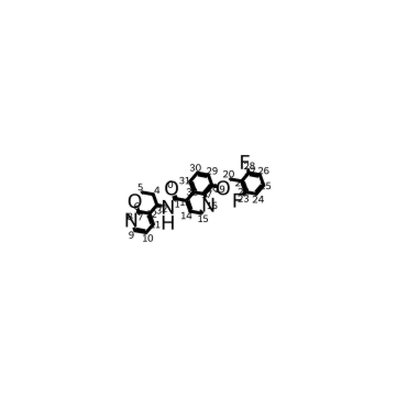 O=C(NC1CCOc2ncccc21)c1ccnc2c(OCc3c(F)cccc3F)cccc12